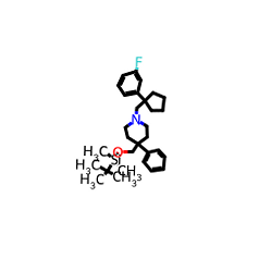 CC(C)(C)[Si](C)(C)OCC1(c2ccccc2)CCN(CC2(c3cccc(F)c3)CCCC2)CC1